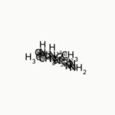 Cc1ccc2c(Nc3ccc4c(c3)NC(=O)C4(C)C)ncnc2c1-c1ccc2nc(N)ncc2c1